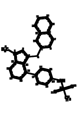 Cn1cc(Cc2ccc3ccccc3c2)c2c(-c3ccc(NS(=O)(=O)C(F)(F)F)cc3)cccc21